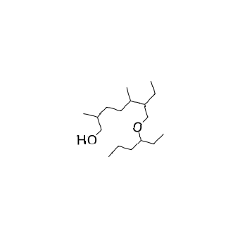 CCCC(CC)OCC(CC)C(C)CCC(C)CO